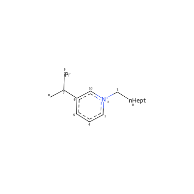 CCCCCCCC[n+]1cccc(C(C)C(C)C)c1